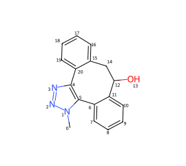 Cn1nnc2c1-c1ccccc1C(O)Cc1ccccc1-2